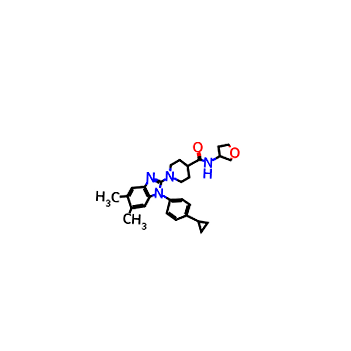 Cc1cc2nc(N3CCC(C(=O)NC4CCOC4)CC3)n(-c3ccc(C4CC4)cc3)c2cc1C